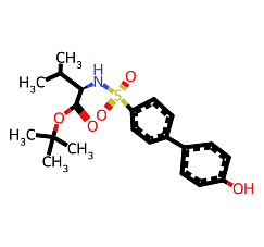 CC(C)[C@@H](NS(=O)(=O)c1ccc(-c2ccc(O)cc2)cc1)C(=O)OC(C)(C)C